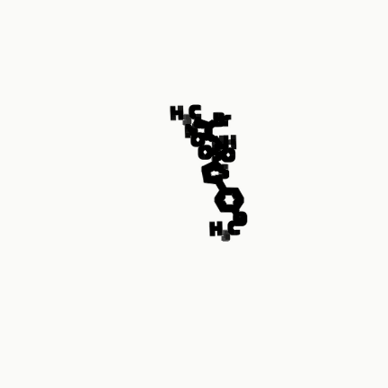 COc1ccc(-c2ccc(S(=O)(=O)Nc3onc(C)c3Br)s2)cc1